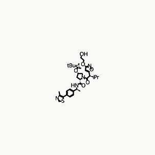 Cc1ncsc1-c1ccc([C@H](C)NC(=O)[C@@H]2C[C@@H](O[Si](C)(C)C(C)(C)C)CN2C(=O)[C@@H](c2cc(OCCO)no2)C(C)C)cc1